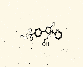 CS(=O)(=O)c1ccc(C2CC(Cl)N(c3ccccn3)[C@H]2CCO)cc1